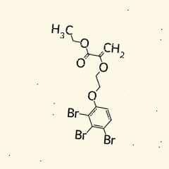 C=C(OCCOc1ccc(Br)c(Br)c1Br)C(=O)OCC